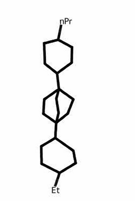 CCCC1CCC(C23CCC(C4CCC(CC)CC4)(CC2)CC3)CC1